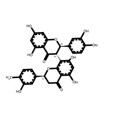 Cc1ccc([C@@H]2CC(=O)c3c(O)cc(O)c([C@@H]4C(=O)c5c(O)cc(O)cc5O[C@H]4c4ccc(O)c(O)c4)c3O2)cc1O